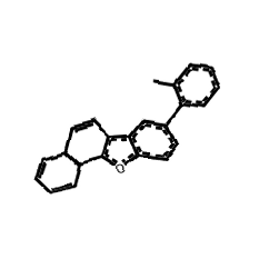 Cc1ccccc1-c1ccc2oc3c(c2c1)C=CC1C=CC=CC31